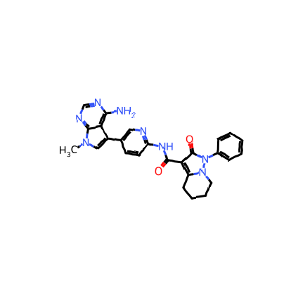 Cn1cc(-c2ccc(NC(=O)c3c4n(n(-c5ccccc5)c3=O)CCCC4)nc2)c2c(N)ncnc21